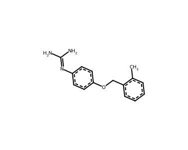 Cc1ccccc1COc1ccc(N=C(N)N)cc1